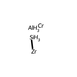 [AlH3].[Cr].[SiH3][Zr]